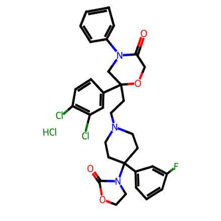 Cl.O=C1COC(CCN2CCC(c3cccc(F)c3)(N3CCOC3=O)CC2)(c2ccc(Cl)c(Cl)c2)CN1c1ccccc1